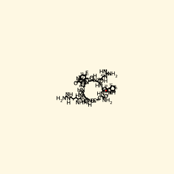 CC(=O)N[C@H](CCCNC(=N)N)C(=O)N[C@H]1CC(=O)NCCCCC(C(N)=O)NC(=O)[C@H](Cc2c[nH]c3ccccc23)NC(=O)[C@H](CCCNC(=N)N)NC(=O)[C@@H](Cc2ccccc2F)NC(=O)[C@H](CCC(N)=O)NC1=O